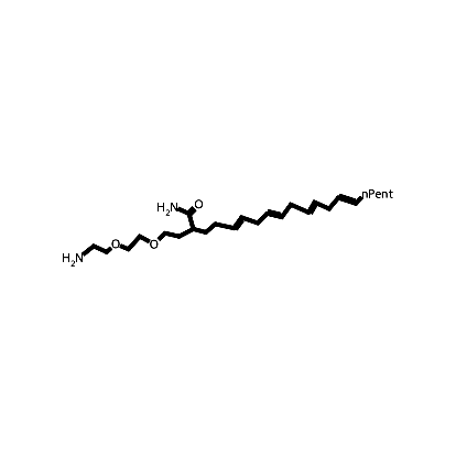 CCCCCC=CCC=CCC=CCC=CCCC(CCOCCOCCN)C(N)=O